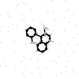 Cc1ccccc1-c1c2ccccc2nc[n+]1C